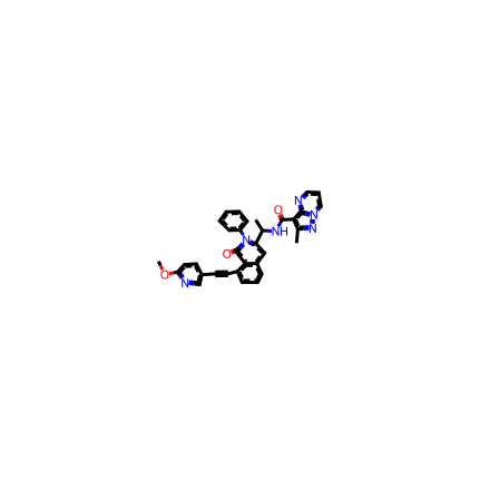 COc1ccc(C#Cc2cccc3cc(C(C)NC(=O)c4c(C)nn5cccnc45)n(-c4ccccc4)c(=O)c23)cn1